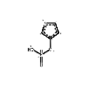 O=[PH](O)Oc1ccsc1